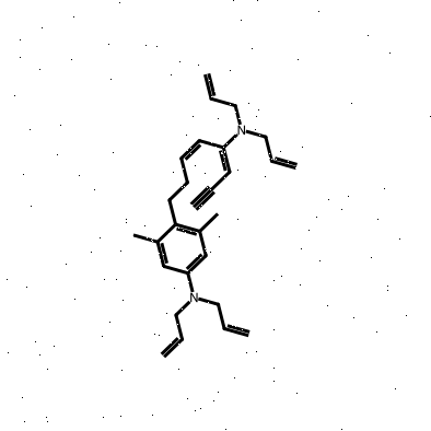 C#C/C=C(\C=C/CCc1c(C)cc(N(CC=C)CC=C)cc1C)N(CC=C)CC=C